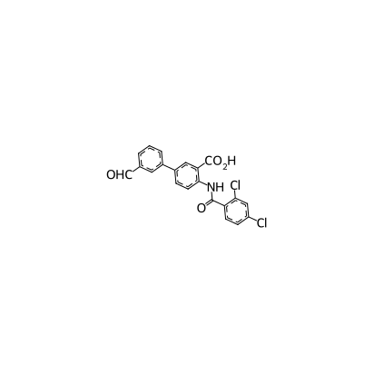 O=Cc1cccc(-c2ccc(NC(=O)c3ccc(Cl)cc3Cl)c(C(=O)O)c2)c1